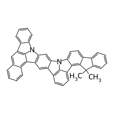 CC1(C)c2ccccc2-c2ccc3c(c21)c1cccc2c4cc5c6c7ccccc7cc7c8ccccc8n(c5cc4n3c21)c76